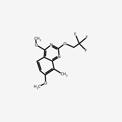 COc1ccc2c(OC)nc(OCC(F)(F)F)nc2c1C